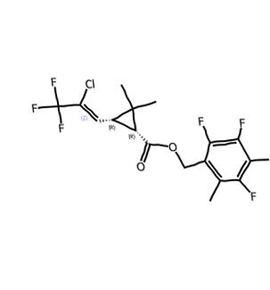 Cc1c(F)c(C)c(COC(=O)[C@@H]2[C@H](/C=C(\Cl)C(F)(F)F)C2(C)C)c(F)c1F